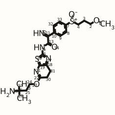 COCCC[S+]([O-])c1ccc(C(=N)C(=O)Nc2nc3c(s2)N=C(OCCC(C)(C)N)CC3)cc1